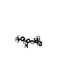 CC12CCCN1c1cc(OCc3ccc(Oc4cccc(C(F)(F)F)c4)c(C#N)c3)nc(=O)n1C2